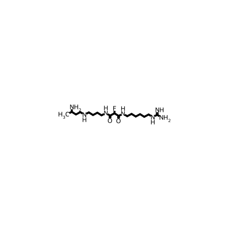 CC(N)CCNCCCCNC(=O)C(F)C(=O)NCCCCCCNC(=N)N